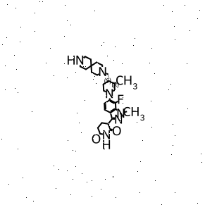 C[C@H]1CN(c2ccc3c(C4CCC(=O)NC4=O)nn(C)c3c2F)CC[C@@H]1CN1CCC2(CCNCC2)CC1